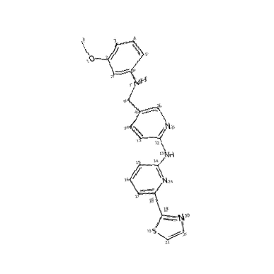 COc1cccc(NCc2ccc(Nc3cccc(-c4nccs4)n3)nc2)c1